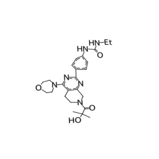 CCNC(=O)Nc1ccc(-c2nc3c(c(N4CCOCC4)n2)CCN(C(=O)C(C)(C)O)C3)cc1